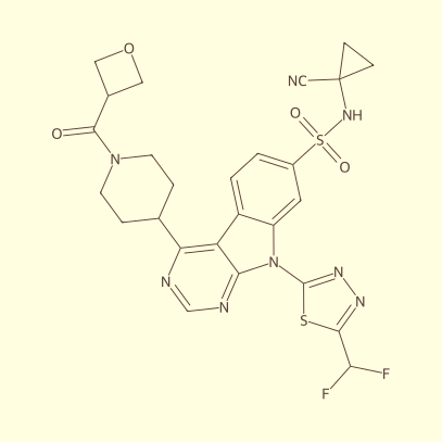 N#CC1(NS(=O)(=O)c2ccc3c4c(C5CCN(C(=O)C6COC6)CC5)ncnc4n(-c4nnc(C(F)F)s4)c3c2)CC1